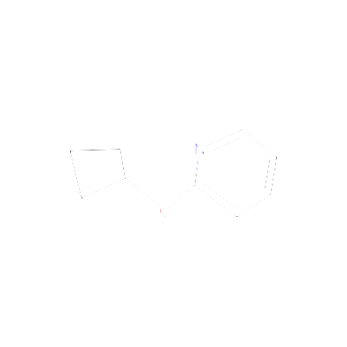 c1ccc(OC2CCC2)nc1